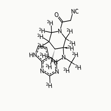 [2H]c1nc(N(C([2H])([2H])[2H])[C@]2([2H])[C@H](C([2H])([2H])[2H])C([2H])([2H])C([2H])([2H])N(C(=O)C[N+]#[C-])C2([2H])[2H])c2cc[nH]c2n1